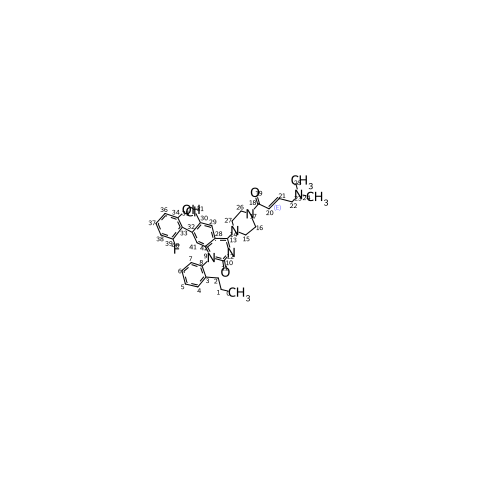 CCCc1ccccc1-n1c(=O)nc(N2CCN(C(=O)/C=C/CN(C)C)CC2)c2cc(Cl)c(-c3c(O)cccc3F)cc21